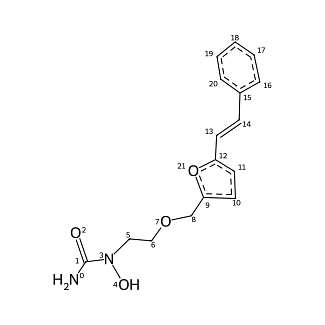 NC(=O)N(O)CCOCc1ccc(C=Cc2ccccc2)o1